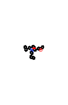 c1ccc(-c2ccc(-c3cccc4ccccc34)cc2N(c2ccc(-c3ccc4c(c3)oc3ccccc34)cc2)c2ccc(-c3cccc4ccccc34)cc2)cc1